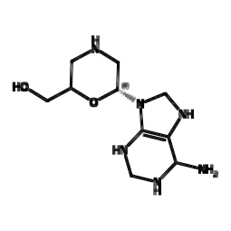 NC1NCNC2=C1NCN2[C@H]1CNCC(CO)O1